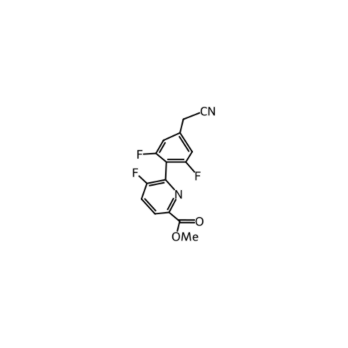 COC(=O)c1ccc(F)c(-c2c(F)cc(CC#N)cc2F)n1